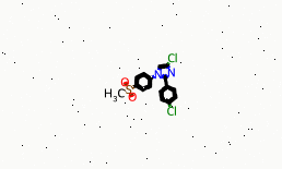 CS(=O)(=O)c1ccc(-n2cc(Cl)nc2-c2ccc(Cl)cc2)cc1